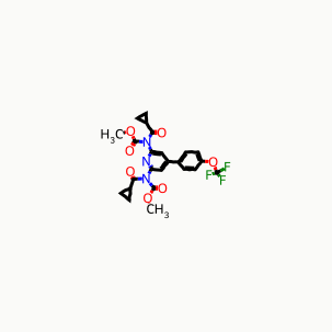 COC(=O)N(C(=O)C1CC1)c1cc(-c2ccc(OC(F)(F)F)cc2)cc(N(C(=O)OC)C(=O)C2CC2)n1